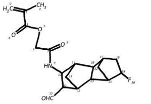 C=C(C)C(=O)OCC(=O)NC1C(C=O)C2CC1C1C3CC(F)C(C3)C21